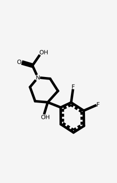 O=C(O)N1CCC(O)(c2cccc(F)c2F)CC1